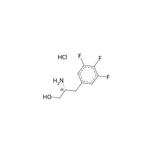 Cl.N[C@@H](CO)Cc1cc(F)c(F)c(F)c1